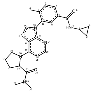 Cc1ccc(C(=O)NC2CC2)cc1-n1cnc2c(N3CCCC3C(=O)N(C)C)ncnc21